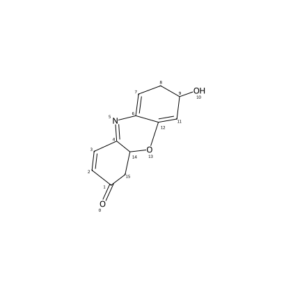 O=C1C=CC2=NC3=CCC(O)C=C3OC2C1